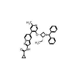 CC[C@@H]1[C@H](Oc2cnc(C)cc2-c2ccn3nc(NC(=O)C4CC4)cc3c2)CN1C(c1ccccc1)c1ccccc1